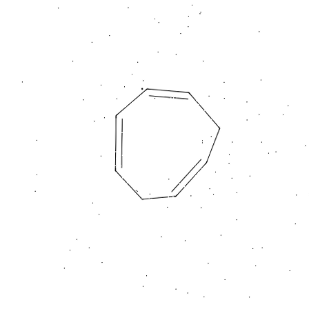 [C]1=CCC=CCC=C1